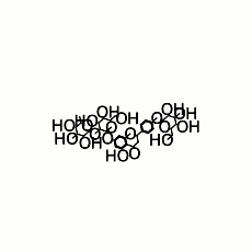 CC1OC(OC2C(Oc3cc(O)c4c(c3)OC(c3ccc(OC5OC(CO)C(O)C(O)C5O)cc3)CC4=O)OC(CO)C(O)C2O)C(O)C(O)C1O